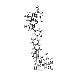 COC(=O)N[C@H](C(=O)N1[C@@H]2[C@H](C)[C@@H]2C[C@H]1c1ncc(-c2ccc3cc(-c4cccc(-c5c[nH]c([C@@H]6C[C@H]7C[C@H]7N6C(=O)[C@@H](NC(=O)OC)C(C)C)n5)c4)ccc3c2)[nH]1)C(C)C